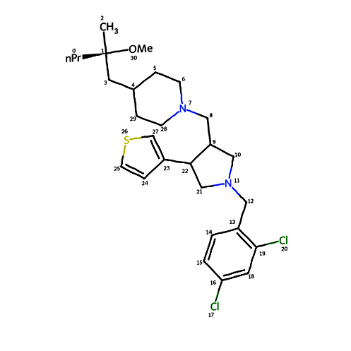 CCC[C@](C)(CC1CCN(CC2CN(Cc3ccc(Cl)cc3Cl)CC2c2ccsc2)CC1)OC